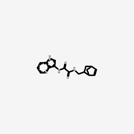 O=C(NCC1CC2C=CC1C2)C(=O)Nc1c[nH]c2cccnc12